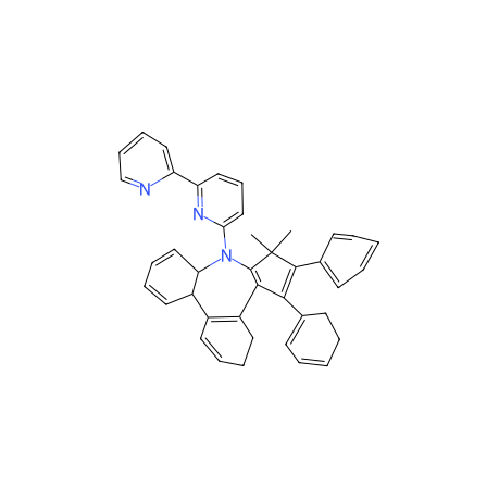 CC1(C)C(c2ccccc2)=C(C2=CC=CCC2)C2=C1N(c1cccc(-c3ccccn3)n1)C1C=CC=CC1C1=C2CCC=C1